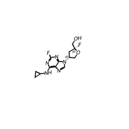 OC[C@]1(F)C[C@@H](n2cnc3c(NC4CC4)nc(F)nc32)CO1